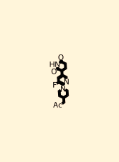 CC(=O)CC1CCN(c2ncc(C3CCC(=O)NC3=O)cc2F)CC1